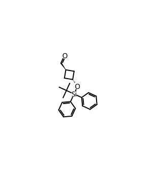 CC(C)(C)[Si](O[C@H]1C[C@H](C=O)C1)(c1ccccc1)c1ccccc1